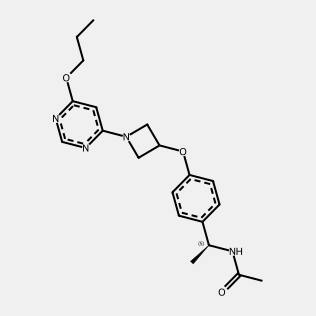 CCCOc1cc(N2CC(Oc3ccc([C@H](C)NC(C)=O)cc3)C2)ncn1